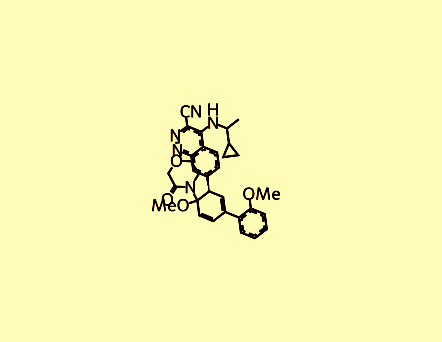 COc1ccccc1C1=C[C@H](c2ccc3c(NC(C)C4CC4)c(C#N)nnc3c2)C(OC)(N2CCOCC2=O)C=C1